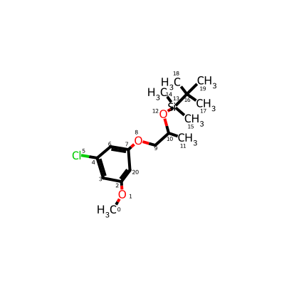 COc1cc(Cl)cc(OCC(C)O[Si](C)(C)C(C)(C)C)c1